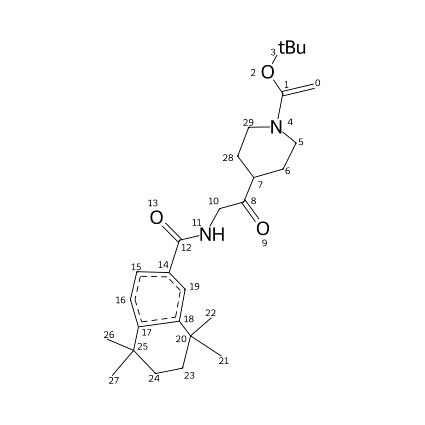 C=C(OC(C)(C)C)N1CCC(C(=O)CNC(=O)c2ccc3c(c2)C(C)(C)CCC3(C)C)CC1